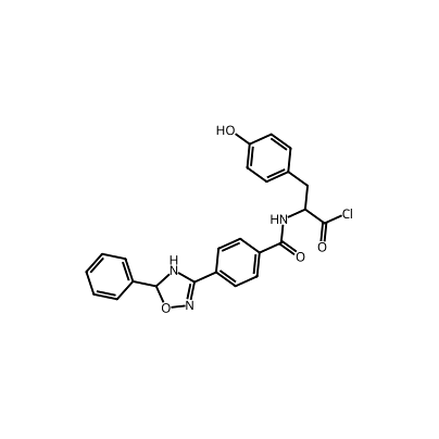 O=C(NC(Cc1ccc(O)cc1)C(=O)Cl)c1ccc(C2=NOC(c3ccccc3)N2)cc1